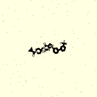 O=C(C1CC1)N1CCC(O)(Cn2cnc3c(cnn3-c3cccc(-c4cccc(C(F)(F)F)c4)c3)c2=O)CC1